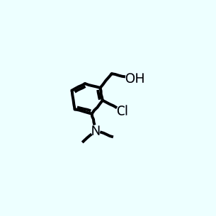 CN(C)c1cccc(CO)c1Cl